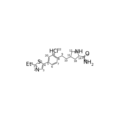 CCc1ncc(-c2ccc(CCC3CNC(C(N)=O)C3)cc2)s1.Cl